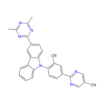 Cc1nc(C)nc(-c2ccc3c(c2)c2ccccc2n3-c2ccc(-c3ncc(C#N)cn3)cc2C#N)n1